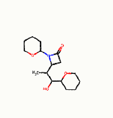 CC(C(O)C1CCCCO1)C1CC(=O)N1C1CCCCO1